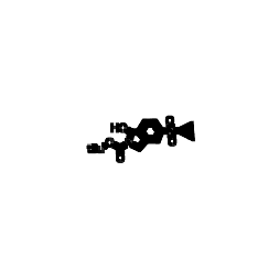 CC(C)(C)OC(=O)N1Cc2cc(S(=O)(=O)C3CC3)ccc2C1O